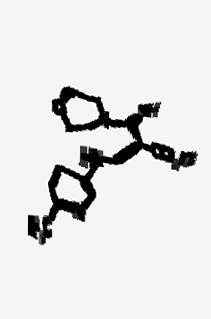 CCOC(=O)/C(=C/Nc1ccc(C(F)(F)F)nc1)C(=N)N1CCOCC1